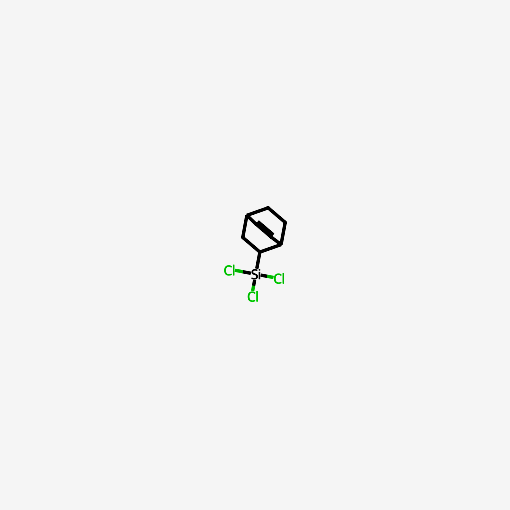 Cl[Si](Cl)(Cl)C1CC2C=CC1CC2